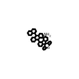 Nc1ccc2c(c1)-c1c(-c3c4ccccc4c(-c4cccc5ccccc45)c4ccccc34)cccc1C21c2ccccc2Sc2ccccc21